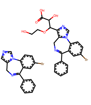 Brc1ccc2c(c1)C(c1ccccc1)=NCc1cncn1-2.O=C(O)C(O)C(OCCO)c1ncn2c1CN=C(c1ccccc1)c1cc(Br)ccc1-2